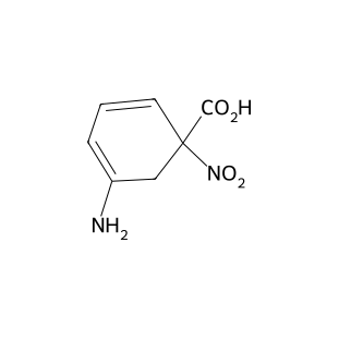 NC1=CC=CC(C(=O)O)([N+](=O)[O-])C1